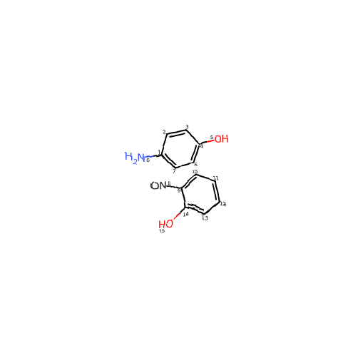 Nc1ccc(O)cc1.O=Nc1ccccc1O